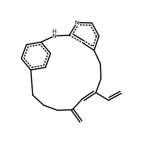 C=C/C1=C\C(=C)CCCc2ccc(cc2)Nc2cc(ccn2)CC1